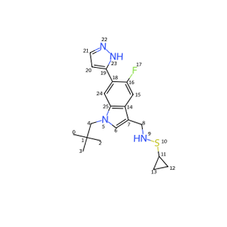 CC(C)(C)Cn1cc(CNSC2CC2)c2cc(F)c(-c3ccn[nH]3)cc21